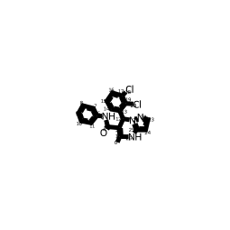 CC1=C(C(=O)Nc2ccccc2)C(c2cccc(Cl)c2Cl)n2nccc2N1